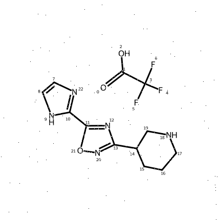 O=C(O)C(F)(F)F.c1c[nH]c(-c2nc(C3CCCNC3)no2)n1